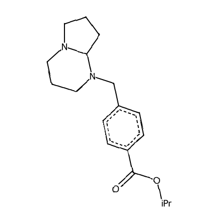 CC(C)OC(=O)c1ccc(CN2CCCN3CCCC32)cc1